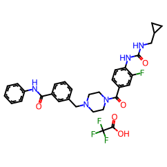 O=C(NCC1CC1)Nc1ccc(C(=O)N2CCN(Cc3cccc(C(=O)Nc4ccccc4)c3)CC2)cc1F.O=C(O)C(F)(F)F